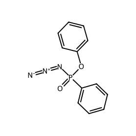 [N-]=[N+]=NP(=O)(Oc1ccccc1)c1ccccc1